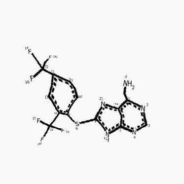 Nc1ncnc2[nH]c(Sc3ccc(C(F)(F)F)cc3C(F)(F)F)nc12